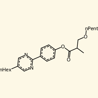 CCCCCCc1cnc(-c2ccc(OC(=O)C(C)COCCCCC)cc2)nc1